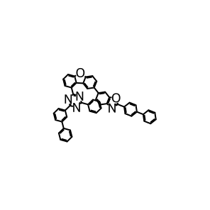 c1ccc(-c2ccc(-c3nc4ccc(-c5ccc6oc7cccc(-c8nc(-c9ccccc9)nc(-c9cccc(-c%10ccccc%10)c9)n8)c7c6c5)cc4o3)cc2)cc1